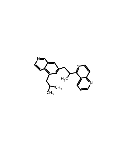 CC(C)Cc1cc(CC(C)c2nccc3ncccc23)cc2cnccc12